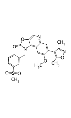 COc1cc2c(cc1-c1c(C)noc1C)ncc1oc(=O)n(Cc3cccc(S(C)(=O)=O)c3)c12